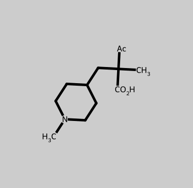 CC(=O)C(C)(CC1CCN(C)CC1)C(=O)O